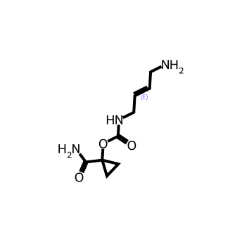 NC/C=C/CNC(=O)OC1(C(N)=O)CC1